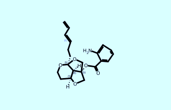 C=C/C=C/CC[C@]12OCC[C@@H]3OC[C@](OC(=O)c4ccccc4N)(CO1)[C@@H]32